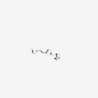 CC(C)(C)c1cnc(/C=C/c2cnc(N3C4=CC=NC3=C4)s2)o1